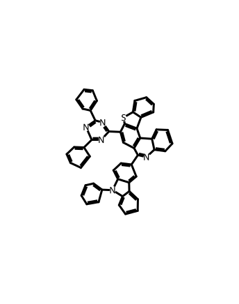 c1ccc(-c2nc(-c3ccccc3)nc(-c3cc4c(-c5ccc6c(c5)c5ccccc5n6-c5ccccc5)nc5ccccc5c4c4c3sc3ccccc34)n2)cc1